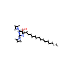 CCCCCCCCCCCCCCc1nc(N2CCC2)nc(N2CCC2)c1O